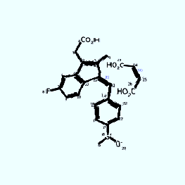 CC1=C(CC(=O)O)c2cc(F)ccc2/C1=C\c1ccc([S+](C)[O-])cc1.O=C(O)/C=C\C(=O)O